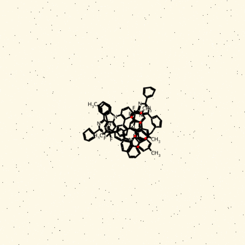 Cc1ccc2c(c1)c1ccccc1n2-c1ccc(C(F)(F)F)cc1-c1cc(-c2nc(-c3ccccc3)nc(-c3ccccc3)n2)ccc1-n1c2ccccc2c2cc(Cc3cccc(-c4nc(-c5ccccc5)nc(-c5ccc(-n6c7ccc(C)cc7c7cc(C)ccc76)c(-c6cc(C(F)(F)F)ccc6-n6c7ccc(C)cc7c7cc(C)ccc76)c5)n4)c3)ccc21